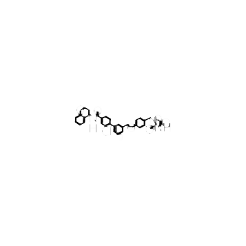 Cc1cc(C(=O)NC2CCOc3ccccc32)ccc1-c1cccc(COc2ccc(Cn3oc(=O)[nH]c3=O)cc2)c1